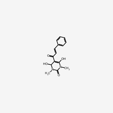 CN1C(=O)N(C)C(O)C(C(=O)/C=C/c2ccccc2)=C1O